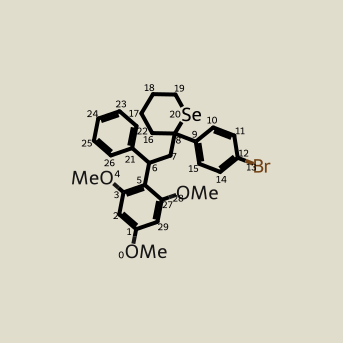 COc1cc(OC)c(C(CC2(c3ccc(Br)cc3)CCCC[Se]2)c2ccccc2)c(OC)c1